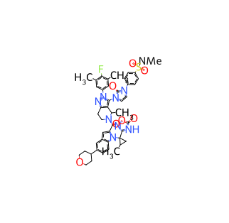 CNS(=O)(=O)c1ccc(-n2ccn(-c3c4c(nn3-c3cc(C)c(F)c(C)c3)CCN(C(=O)c3cc5cc(C6CCOCC6)ccc5n3C3(c5noc(=O)[nH]5)CC3C)C4C)c2=O)cc1